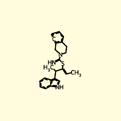 C/C=C(\SC(=N)N1CCc2ccccc2C1)C(C)c1c[nH]c2ccccc12